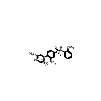 COc1ccccc1NS(=O)(=O)c1ccc(N2C[C@H](C)NC[C@H]2C)c([N+](=O)[O-])c1